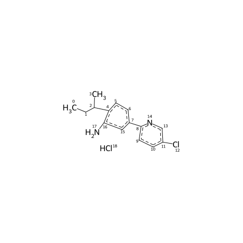 CCC(C)c1ccc(-c2ccc(Cl)cn2)cc1N.Cl